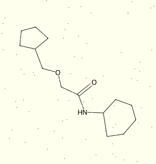 O=C(COCC1CCCC1)NC1CCCCC1